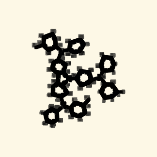 Cc1cccc(N(c2ccccc2)c2ccc(-n3c4cc(N(c5ccccc5)c5cccc(C)c5)ccc4c4ccc(N(c5ccccc5)c5cccc(C)c5)cc43)cc2)c1